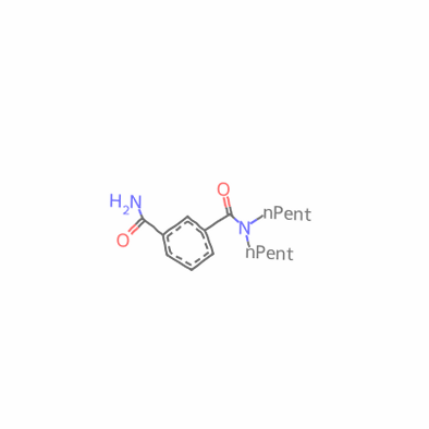 CCCCCN(CCCCC)C(=O)c1cccc(C(N)=O)c1